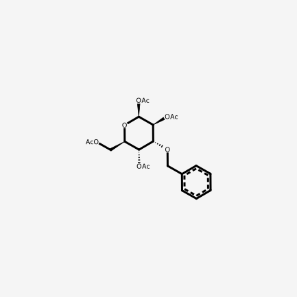 CC(=O)OC[C@H]1O[C@@H](OC(C)=O)[C@@H](OC(C)=O)[C@H](OCc2ccccc2)[C@@H]1OC(C)=O